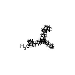 CC1Cc2ccc(-c3ccc(-c4nc(-c5ccc(-c6ccccc6)cc5)nc(-c5ccc(-c6ccc7ccc8cccnc8c7n6)cc5)n4)cc3)nc2-c2ncccc21